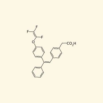 O=C(O)Cc1ccc(C=C(c2ccccc2)c2ccc(OC(F)=C(F)F)cc2)cc1